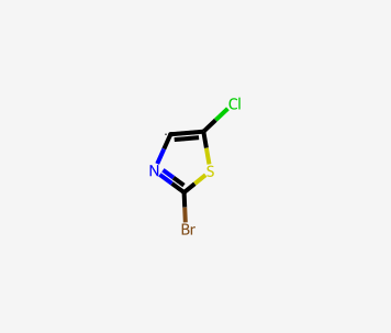 Clc1[c]nc(Br)s1